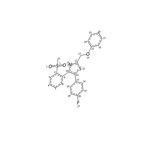 CS(=O)(=O)c1ccccc1-c1nc(COc2ccccc2)sc1-c1ccc(F)cc1